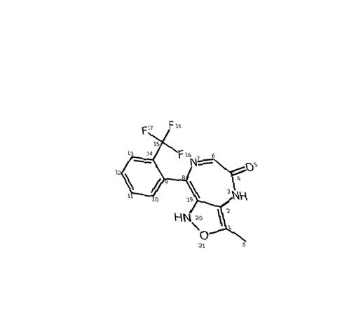 CC1=C2NC(=O)C=NC(c3ccccc3C(F)(F)F)=C2NO1